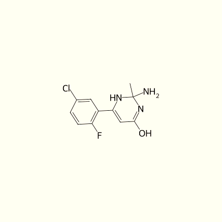 CC1(N)N=C(O)C=C(c2cc(Cl)ccc2F)N1